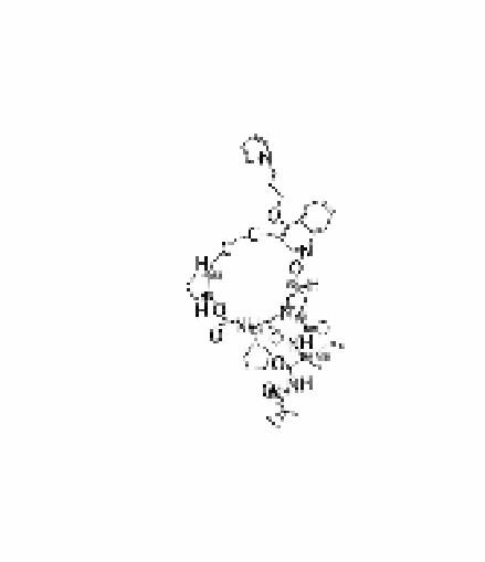 C=C[C@@H]1C[C@]1(NC(=O)[C@@H]1C[C@@H]2CN1C(=O)[C@H](C1CCCC1)NC(=O)O[C@@H]1CCC[C@H]1CCCCCc1c(nc3ccccc3c1OCCCn1cccc1)O2)C(=O)N[S@+]([O-])C1(C)CC1